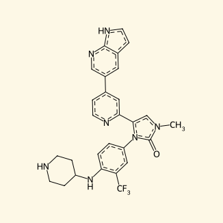 Cn1cc(-c2cc(-c3cnc4[nH]ccc4c3)ccn2)n(-c2ccc(NC3CCNCC3)c(C(F)(F)F)c2)c1=O